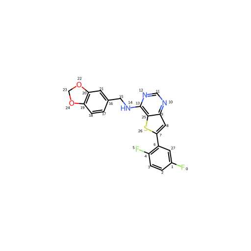 Fc1ccc(F)c(-c2cc3ncnc(NCc4ccc5c(c4)OCO5)c3s2)c1